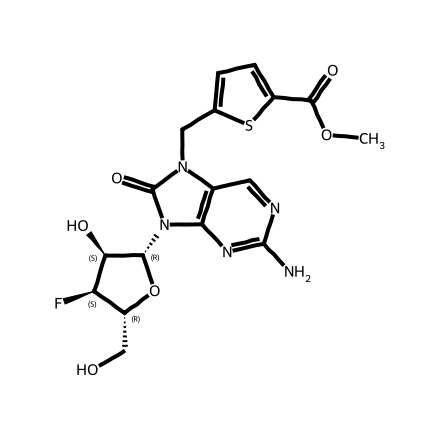 COC(=O)c1ccc(Cn2c(=O)n([C@@H]3O[C@H](CO)[C@@H](F)[C@H]3O)c3nc(N)ncc32)s1